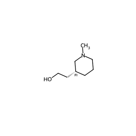 CN1CCC[C@H](CCO)C1